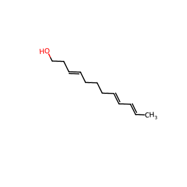 CC=CC=CCCCC=CCCO